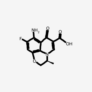 C[C@H]1COc2cc(F)c(N)c3c(=O)c(C(=O)O)cn1c23